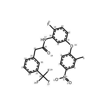 Cc1cc([N+](=O)[O-])ccc1Oc1ccc(F)c(NC(=O)Cc2cccc(C(F)(F)F)c2)c1